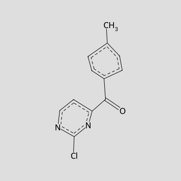 Cc1ccc(C(=O)c2ccnc(Cl)n2)cc1